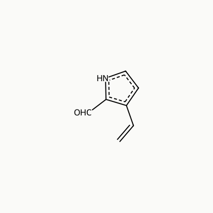 C=Cc1cc[nH]c1C=O